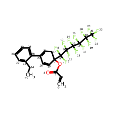 C=CC(=O)OC1(C(F)(F)C(F)(F)C(F)(F)C(F)(F)C(F)(F)C(F)(F)F)C=CC(c2ccccc2CC)=CC1